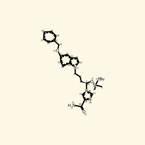 CC(C)(C)[Si](C)(C)O[C@H](CCCn1ccc2cc(OCc3ccccc3)ccc21)n1cnc(C(N)=O)c1